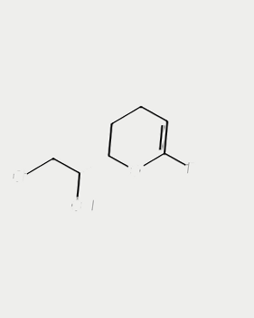 OC(CCl)[C@@H]1CCC=C(F)O1